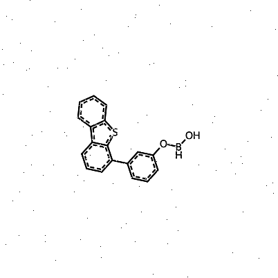 OBOc1cccc(-c2cccc3c2sc2ccccc23)c1